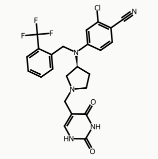 N#Cc1ccc(N(Cc2ccccc2C(F)(F)F)[C@H]2CCN(Cc3c[nH]c(=O)[nH]c3=O)C2)cc1Cl